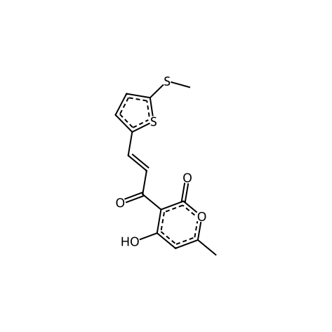 CSc1ccc(/C=C/C(=O)c2c(O)cc(C)oc2=O)s1